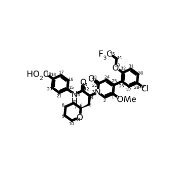 COc1cn(C(C[C@@H]2CCCCO2)C(=O)Nc2ccc(C(=O)O)cc2)c(=O)cc1-c1cc(Cl)ccc1OCC(F)(F)F